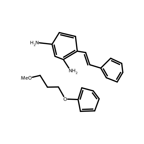 COCCCOc1ccccc1.Nc1ccc(C=Cc2ccccc2)c(N)c1